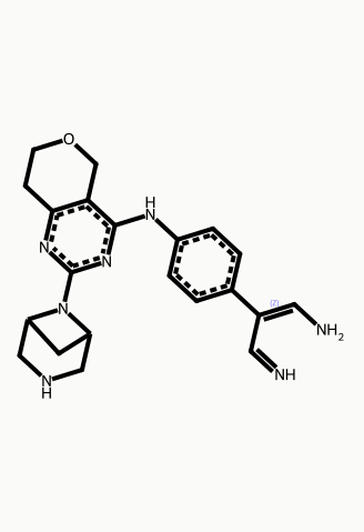 N=C/C(=C\N)c1ccc(Nc2nc(N3C4CNCC3C4)nc3c2COCC3)cc1